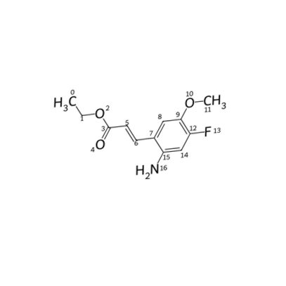 CCOC(=O)C=Cc1cc(OC)c(F)cc1N